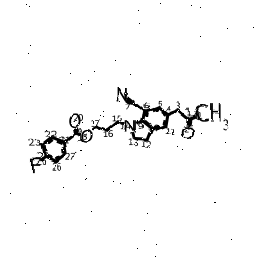 CC(=O)Cc1cc(C#N)c2c(c1)CCN2CCCOC(=O)c1ccc(F)cc1